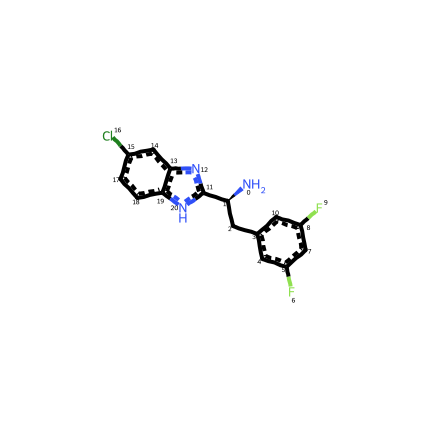 N[C@@H](Cc1cc(F)cc(F)c1)c1nc2cc(Cl)ccc2[nH]1